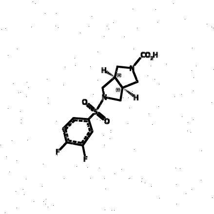 O=C(O)N1C[C@@H]2CN(S(=O)(=O)c3ccc(F)c(F)c3)C[C@@H]2C1